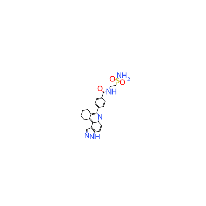 NS(=O)(=O)CCNC(=O)c1ccc(-c2nc3ccc4[nH]ncc4c3c3c2CCCC3)cc1